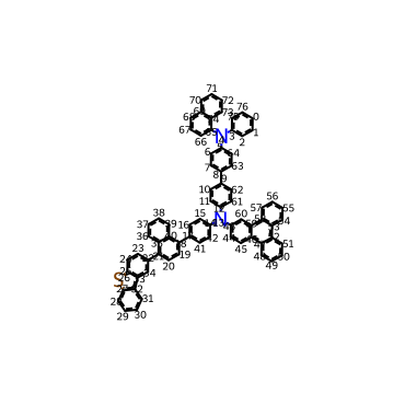 c1ccc(N(c2ccc(-c3ccc(N(c4ccc(-c5ccc(-c6ccc7sc8ccccc8c7c6)c6ccccc56)cc4)c4ccc5c6ccccc6c6ccccc6c5c4)cc3)cc2)c2cccc3ccccc23)cc1